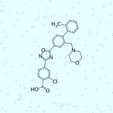 Cc1ccccc1-c1ccc(-c2nc(-c3ccc(C(=O)O)c(Cl)c3)no2)cc1CN1CCOCC1